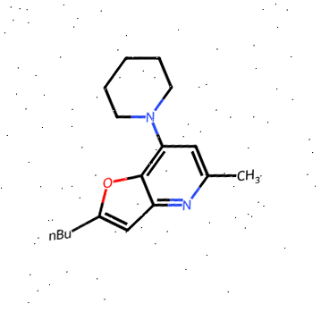 CCCCc1cc2nc(C)cc(N3CCCCC3)c2o1